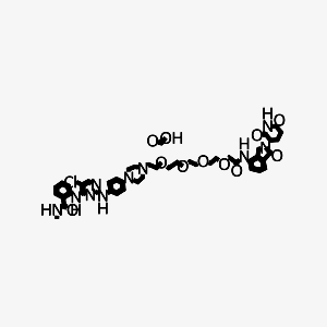 CNC(=O)c1ccccc1Nc1nc(Nc2ccc(N3CCN(CCOCCOCCOCCOCC(=O)Nc4cccc5c4CN(C4CCC(=O)NC4=O)C5=O)CC3)cc2)ncc1Cl.O=CO